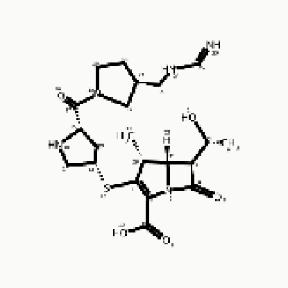 C[C@@H](O)[C@H]1C(=O)N2C(C(=O)O)=C(S[C@@H]3CN[C@H](C(=O)N4CC[C@@H](CNC=N)C4)C3)[C@H](C)[C@H]12